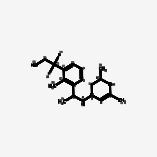 CC1=CN(NC(C)c2cccc(C(F)(F)CO)c2C)CC(C)O1